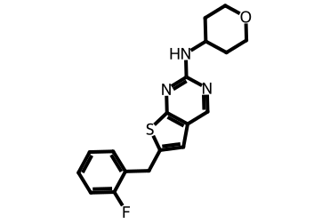 Fc1ccccc1Cc1cc2cnc(NC3CCOCC3)nc2s1